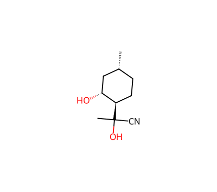 C[C@@H]1CC[C@@H](C(C)(O)C#N)[C@H](O)C1